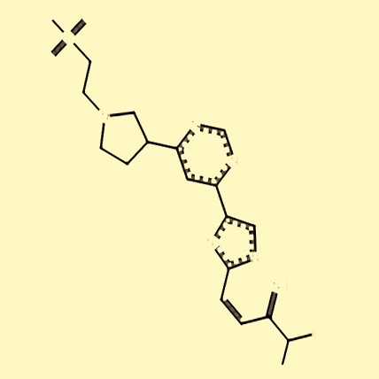 CS(=O)(=O)CCN1CCC(c2cc(-c3cnc(/C=C\C(=N)C(F)F)[nH]3)ncn2)C1